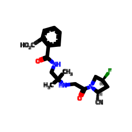 CC(C)(CNC(=O)c1ccccc1C(=O)O)NCC(=O)N1C[C@@H](F)C[C@H]1C#N